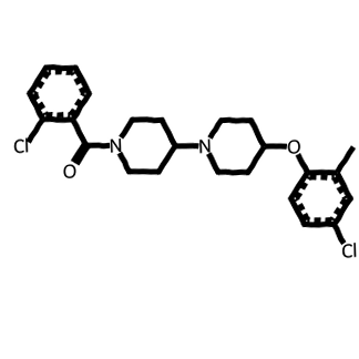 Cc1cc(Cl)ccc1OC1CCN(C2CCN(C(=O)c3ccccc3Cl)CC2)CC1